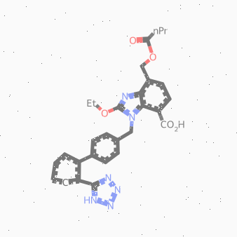 CCCC(=O)OCc1ccc(C(=O)O)c2c1nc(OCC)n2Cc1ccc(-c2ccccc2-c2nnn[nH]2)cc1